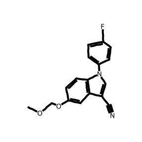 COCOc1ccc2c(c1)c(C#N)cn2-c1ccc(F)cc1